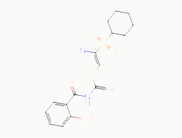 C=C(NC(=O)c1ccccc1O)S/C=C(\N)S(=O)(=O)C1CCCCC1